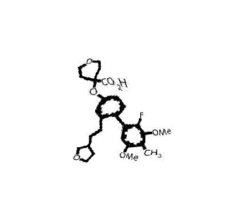 COc1cc(-c2ccc(OC3(C(=O)O)CCOCC3)cc2CCC2CCOC2)c(F)c(OC)c1C